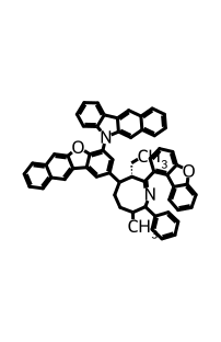 CC[C@@H]1/C(c2cccc3oc4ccccc4c23)=N\C(c2ccccc2)C(C)CCC1c1cc(-n2c3ccccc3c3cc4ccccc4cc32)c2oc3cc4ccccc4cc3c2c1